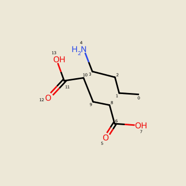 CCCCN.O=C(O)CCCC(=O)O